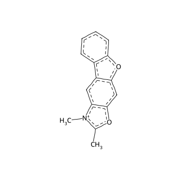 Cc1oc2cc3oc4ccccc4c3cc2[n+]1C